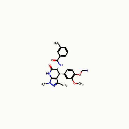 COc1cc([C@@H]2c3c(C)nn(C)c3NC(=O)[C@@H]2NC(=O)c2cccc(C)c2)ccc1OCI